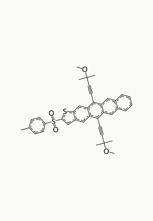 COC(C)(C)C#Cc1c2cc3ccccc3cc2c(C#CC(C)(C)OC)c2cc3sc(S(=O)(=O)c4ccc(C)cc4)cc3cc12